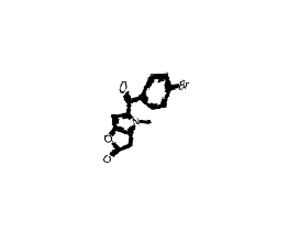 Cn1c(C(=O)c2ccc(Br)cc2)cc2c1CC(=O)O2